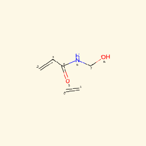 C=C.C=CC(=O)NCO